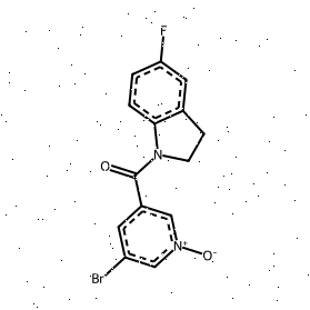 O=C(c1cc(Br)c[n+]([O-])c1)N1CCc2cc(F)ccc21